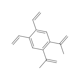 C=Cc1cc(C(=C)C)c(C(=C)C)cc1C=C